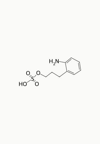 Nc1ccccc1CCCOS(=O)(=O)O